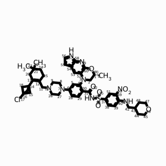 C[C@@H]1CN(c2cc(N3CCN(CC4=C(C56CC(Cl)(C5)C6)CC(C)(C)CC4)CC3)ccc2C(=O)NS(=O)(=O)c2ccc(NCC3CCOCC3)c([N+](=O)[O-])c2)c2cc3cc[nH]c3nc2O1